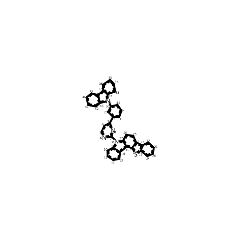 c1cc(-c2ccnc(-n3c4ccccc4c4c5sc6ccccc6c5ccc43)n2)cc(-n2c3ccccc3c3ccccc32)c1